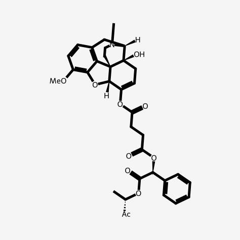 COc1ccc2c3c1O[C@H]1C(OC(=O)CCC(=O)O[C@H](C(=O)O[C@@H](C)C(C)=O)c4ccccc4)=CC[C@@]4(O)[C@@H](C2)N(C)CC[C@]314